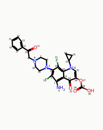 Nc1c(F)c(N2CCN(CC(=O)c3ccccc3)CC2)c(F)c2c1c(=O)c(OC(=O)O)cn2C1CC1